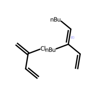 C=C/C(=C/CCCC)CCCC.C=CC(=C)Cl